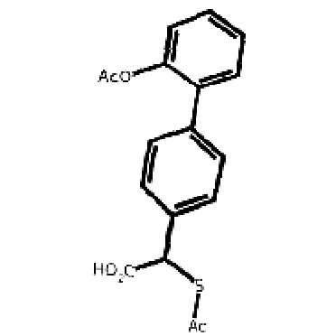 CC(=O)Oc1ccccc1-c1ccc(C(SC(C)=O)C(=O)O)cc1